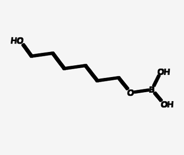 OCCCCCCOB(O)O